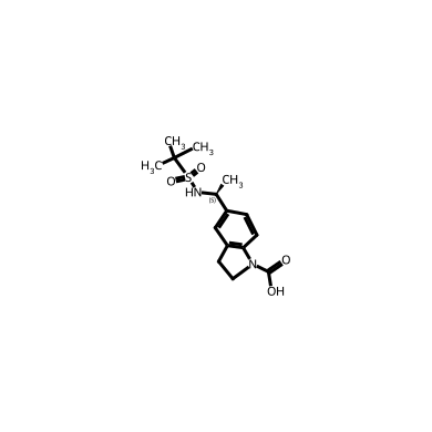 C[C@H](NS(=O)(=O)C(C)(C)C)c1ccc2c(c1)CCN2C(=O)O